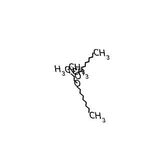 CCCCCCCCCCOCC(C[N+](C)(C)C)OCCCCCCCCCC